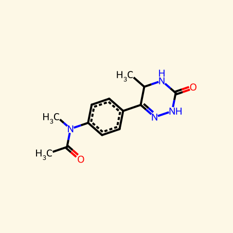 CC(=O)N(C)c1ccc(C2=NNC(=O)NC2C)cc1